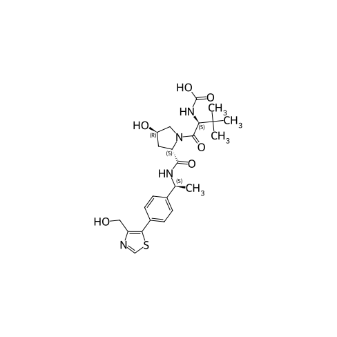 C[C@H](NC(=O)[C@@H]1C[C@@H](O)CN1C(=O)[C@@H](NC(=O)O)C(C)(C)C)c1ccc(-c2scnc2CO)cc1